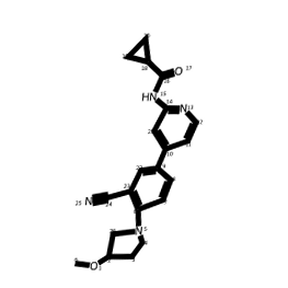 COC1CCN(c2ccc(-c3ccnc(NC(=O)C4CC4)c3)cc2C#N)C1